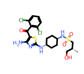 C[C@H](CO)CS(=O)(=O)N[C@H]1CC[C@H](Nc2nc(N)c(C(=O)c3c(Cl)cccc3Cl)s2)CC1